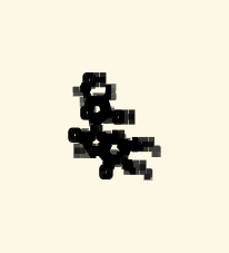 Nc1nc2c([nH]c(=O)n2[C@@H]2O[C@H](CO)[C@H](F)[C@H]2O)c(=O)n1N